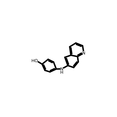 Oc1ccc(Nc2ccc3ncccc3c2)cc1